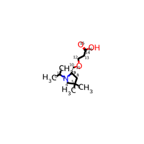 CC(C)N1CC(C)(C)C[C@H]1COCCC(=O)O